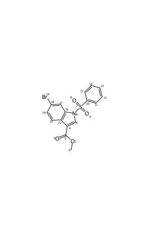 COC(=O)c1cn(S(=O)(=O)c2ccccc2)c2cc(Br)ccc12